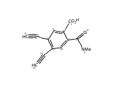 C#Cc1cc(C(=O)O)c(C(=O)NC)cc1C#C